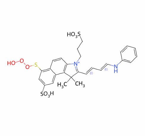 CC1(C)C(/C=C/C=C/Nc2ccccc2)=[N+](CCCS(=O)(=O)O)c2ccc3c(SOOO)cc(S(=O)(=O)O)cc3c21